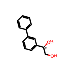 OC[C@H](O)c1cccc(-c2ccccc2)c1